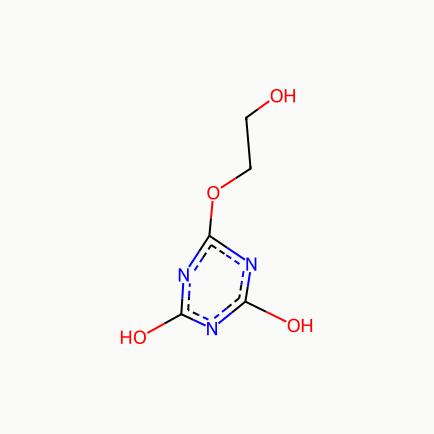 OCCOc1nc(O)nc(O)n1